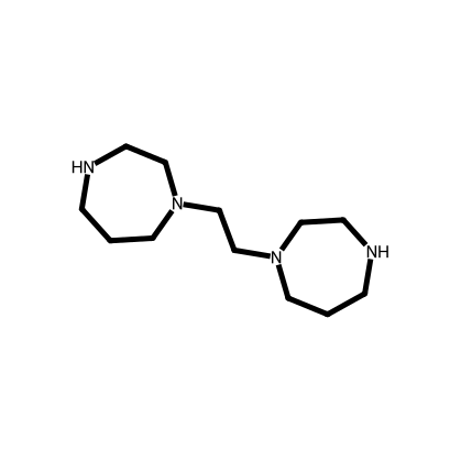 C1CNCCN(CCN2CCCNCC2)C1